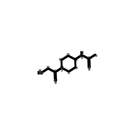 CC(=O)NC1CCN(C(=O)CO)CC1